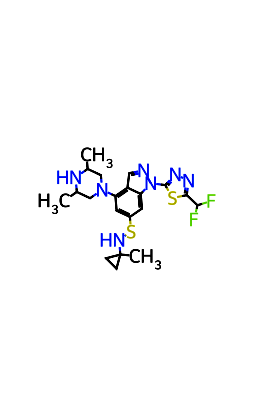 CC1CN(c2cc(SNC3(C)CC3)cc3c2cnn3-c2nnc(C(F)F)s2)CC(C)N1